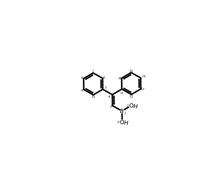 OB(O)C=C(c1ccccc1)c1ccccc1